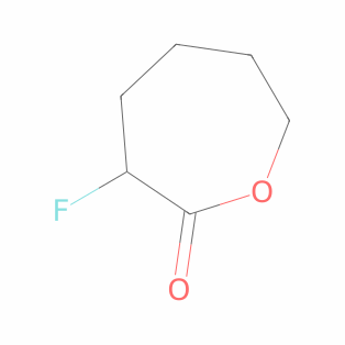 O=C1OCCCCC1F